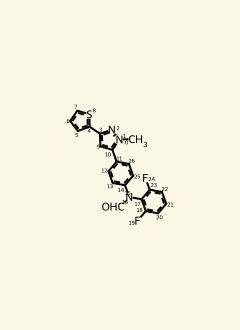 Cn1nc(-c2cccs2)cc1-c1ccc(N(C=O)c2c(F)cccc2F)cc1